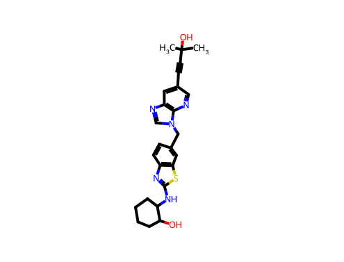 CC(C)(O)C#Cc1cnc2c(c1)ncn2Cc1ccc2nc(NC3CCCCC3O)sc2c1